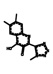 Cc1cc2nc(-c3nnnn3C)c(=O)n(O)c2cc1C